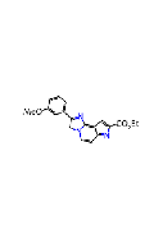 CCOC(=O)c1cc2c3n(ccc-2n1)CC(c1cccc(OC)c1)=N3